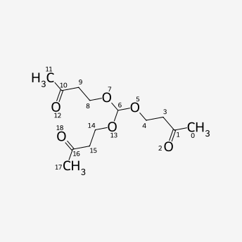 CC(=O)CCOC(OCCC(C)=O)OCCC(C)=O